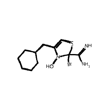 N=C(N)C1(Br)SC=C(CC2CCCCC2)N1O